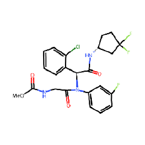 COC(=O)NCC(=O)N(c1cccc(F)c1)[C@H](C(=O)N[C@@H]1CCC(F)(F)C1)c1ccccc1Cl